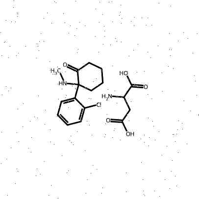 CNC1(c2ccccc2Cl)CCCCC1=O.NC(CC(=O)O)C(=O)O